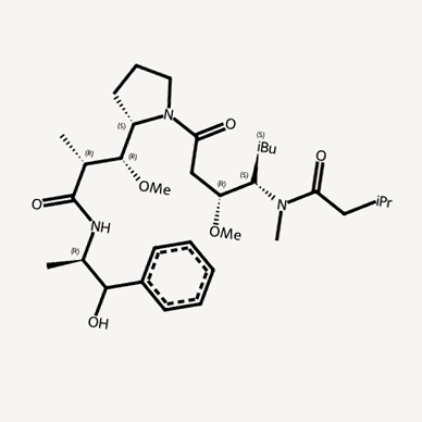 CC[C@H](C)[C@@H]([C@@H](CC(=O)N1CCC[C@H]1[C@H](OC)[C@@H](C)C(=O)N[C@H](C)C(O)c1ccccc1)OC)N(C)C(=O)CC(C)C